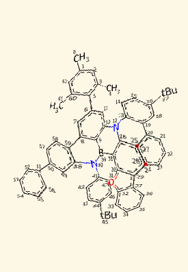 Cc1cc(C)c(-c2cc3c4c(c2)N(c2ccc(C(C)(C)C)cc2-c2ccccc2)c2ccc5c(oc6ccccc65)c2B4N(c2ccc(C(C)(C)C)cc2)c2cc(-c4ccccc4)ccc2-3)c(C)c1